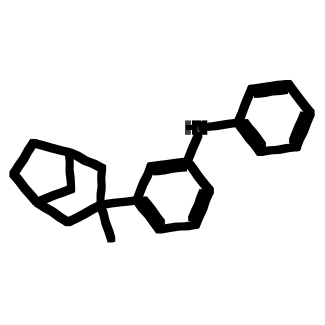 CC1(c2cccc(Nc3ccccc3)c2)CC2CCC(C2)C1